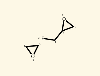 C1CO1.FCC1CO1